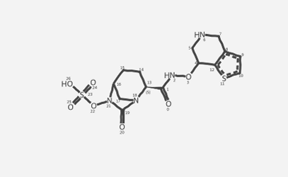 O=C(NOC1CNCc2ccsc21)[C@@H]1CCC2CN1C(=O)N2OS(=O)(=O)O